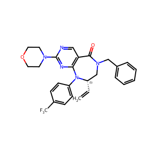 C=C[C@H]1CN(Cc2ccccc2)C(=O)c2cnc(N3CCOCC3)nc2N1c1ccc(C(F)(F)F)cc1